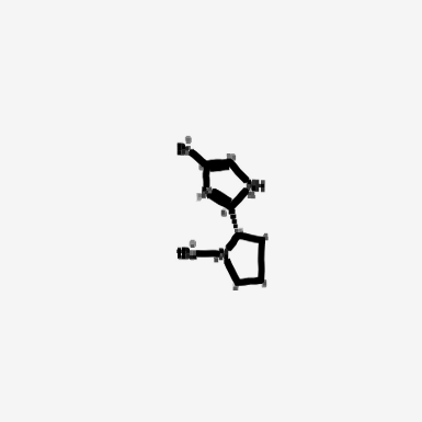 CC(C)(C)N1CCC[C@H]1c1nc(Br)c[nH]1